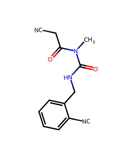 [C-]#[N+]c1ccccc1CNC(=O)N(C)C(=O)CC#N